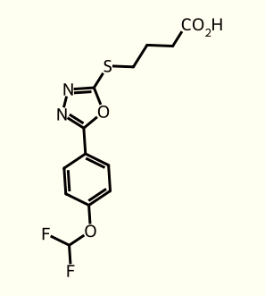 O=C(O)CCCSc1nnc(-c2ccc(OC(F)F)cc2)o1